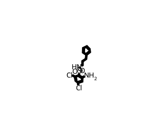 Nc1cc(Cl)cc(Cl)c1S(=O)(=O)NCCCc1ccccc1